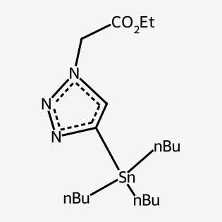 CCC[CH2][Sn]([CH2]CCC)([CH2]CCC)[c]1cn(CC(=O)OCC)nn1